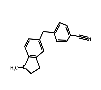 CB1CCc2cc(Cc3ccc(C#N)cc3)ccc21